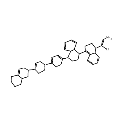 CC/C(=C\N)C1CCC(C2CCC(C3=CC=C([C@@H]4CC=C(C5CC=C6CCCCC6C5)CC4)CC3)C3C=CC=CC23)=C2C=CC=CC21